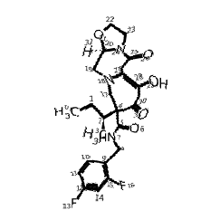 CC[C@H](C)C1(C(=O)NCc2ccc(F)cc2F)CN2C[C@H]3OCCN3C(=O)C2=C(O)C1=O